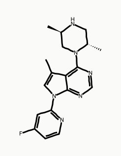 Cc1cn(-c2cc(F)ccn2)c2ncnc(N3C[C@@H](C)NC[C@@H]3C)c12